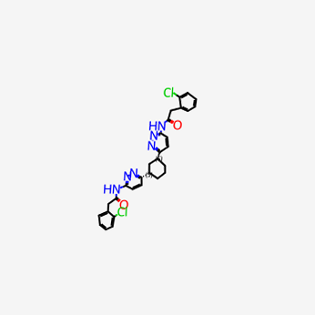 O=C(Cc1ccccc1Cl)Nc1ccc([C@H]2CCC[C@H](c3ccc(NC(=O)Cc4ccccc4Cl)nn3)C2)nn1